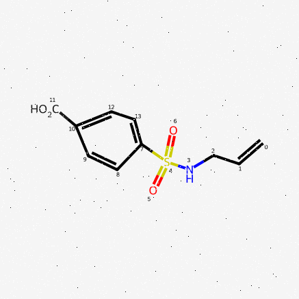 C=CCNS(=O)(=O)c1ccc(C(=O)O)cc1